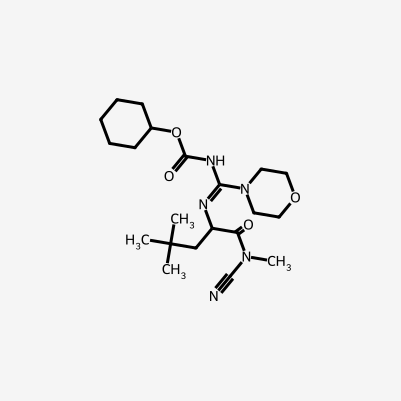 CN(C#N)C(=O)C(CC(C)(C)C)N=C(NC(=O)OC1CCCCC1)N1CCOCC1